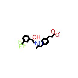 COC(=O)CCc1ccc(CC(C)NCC(O)c2cccc(C(F)(F)F)c2)cc1